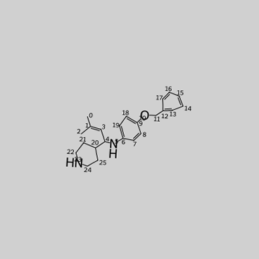 CC(C)=CC(Nc1ccc(OCc2ccccc2)cc1)C1CCNCC1